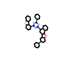 c1ccc(-c2ccc3oc4c5ccccc5c(-c5nc(-c6ccccc6)nc(-c6cccc7sc8ccccc8c67)n5)cc4c3c2)cc1